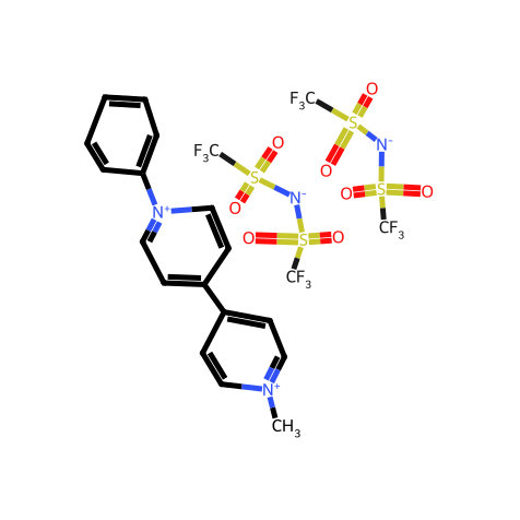 C[n+]1ccc(-c2cc[n+](-c3ccccc3)cc2)cc1.O=S(=O)([N-]S(=O)(=O)C(F)(F)F)C(F)(F)F.O=S(=O)([N-]S(=O)(=O)C(F)(F)F)C(F)(F)F